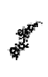 COc1ncc(C(=O)N[C@@]2(C(=O)NCc3ncc(Nc4c(F)cccc4C(F)(F)F)cc3Cl)CCOC2)cn1